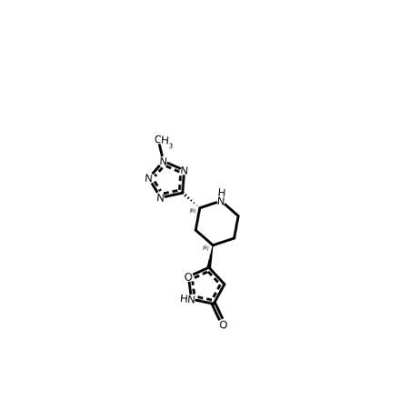 Cn1nnc([C@H]2C[C@H](c3cc(=O)[nH]o3)CCN2)n1